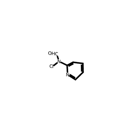 O=CN(Cl)c1ccccn1